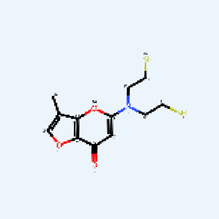 Cc1coc2c(=O)cc(N(CCS)CCS)oc12